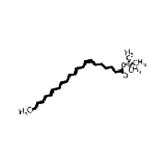 CCCCCC=CCC=CCC=CC/C=C\CCCCCC(=O)O[Si](C)(C)C